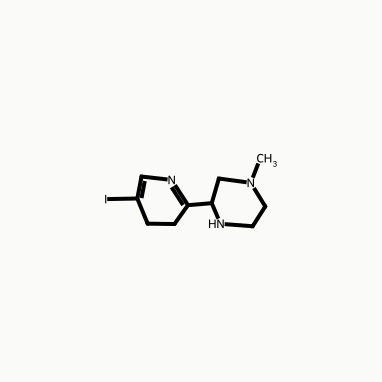 CN1CCNC(C2=NC=C(I)CC2)C1